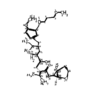 COCCCOc1cc(C[C@@H](C[C@H](N)[C@@H](O)C[C@H](C(=O)NC2[C@H]3CCO[C@@H]23)C(C)C)C(C)C)ccc1OC